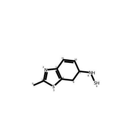 Cc1nc2c(s1)CC(NS)C=C2